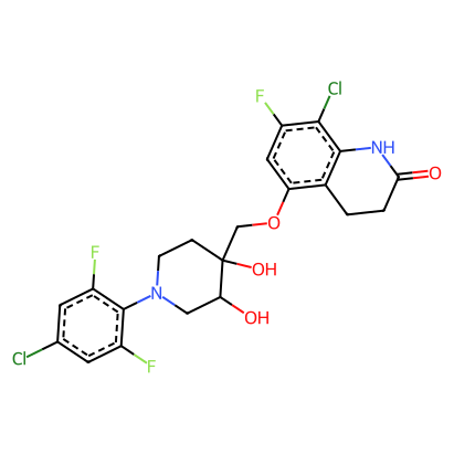 O=C1CCc2c(OCC3(O)CCN(c4c(F)cc(Cl)cc4F)CC3O)cc(F)c(Cl)c2N1